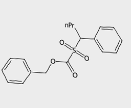 CCCC(c1ccccc1)S(=O)(=O)C(=O)OCc1ccccc1